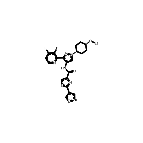 CCO[C@H]1CC[C@@H](n2cc(NC(=O)c3csc(-c4cn[nH]c4)n3)c(-c3nccc(F)c3F)n2)CC1